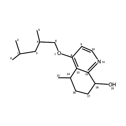 CC(C)CC(C)COc1ccnc2c1C(C)CCC2O